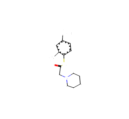 O=C(CN1CCCCC1)Sc1ccc(C(=O)O)cc1[N+](=O)[O-]